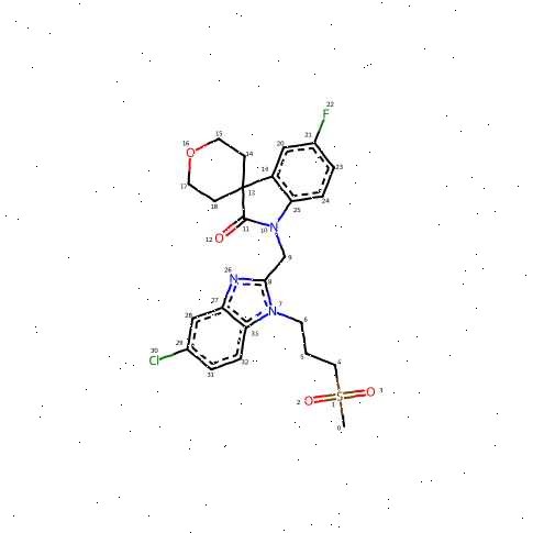 CS(=O)(=O)CCCn1c(CN2C(=O)C3(CCOCC3)c3cc(F)ccc32)nc2cc(Cl)ccc21